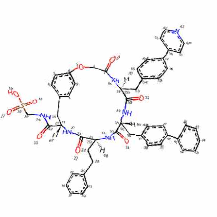 O=C1COc2ccc(cc2)C[C@@H](C(=O)NCS(=O)(=O)O)NC(=O)[C@H](CCc2ccccc2)NC(=O)[C@@H](Cc2ccc(-c3ccccc3)cc2)NC(=O)[C@H](Cc2ccc(-c3ccncc3)cc2)N1